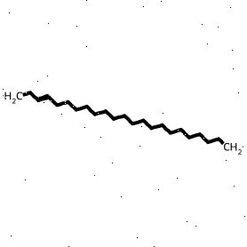 [CH2]CC=CCCCCCCCCCCCCCCCCCC[CH2]